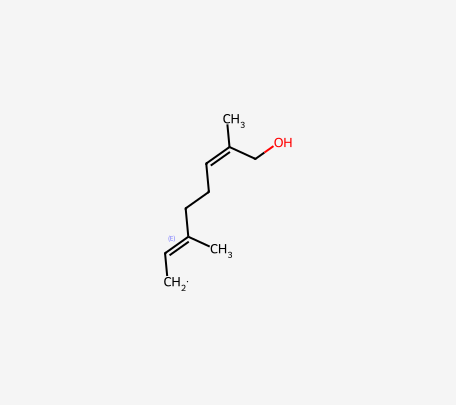 [CH2]/C=C(\C)CCC=C(C)CO